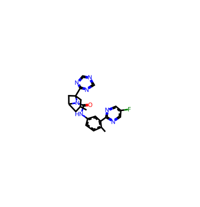 Cc1ccc(NC(=O)N2C3CC(C)CC2(c2ncncn2)C3)cc1-c1ncc(F)cn1